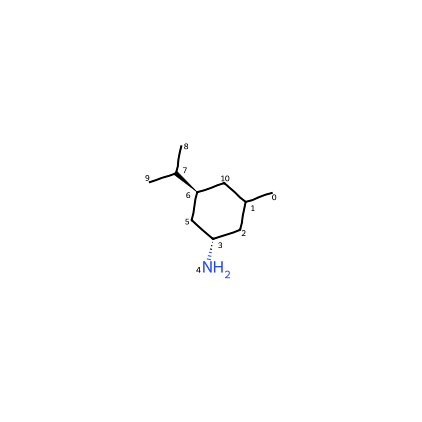 CC1C[C@H](N)C[C@@H](C(C)C)C1